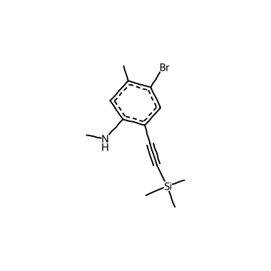 CNc1cc(C)c(Br)cc1C#C[Si](C)(C)C